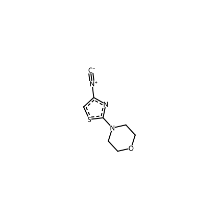 [C-]#[N+]c1csc(N2CCOCC2)n1